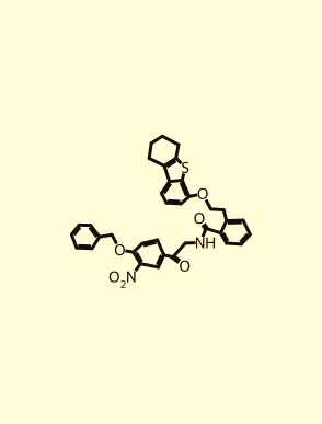 O=C(CNC(=O)c1ccccc1CCOc1cccc2c3c(sc12)CCCC3)c1ccc(OCc2ccccc2)c([N+](=O)[O-])c1